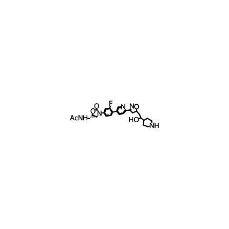 CC(=O)NC[C@H]1CN(c2ccc(-c3ccc(C4=NOC(CC(O)C5CCNCC5)C4)nc3)c(F)c2)C(=O)O1